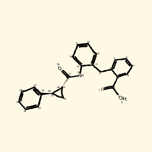 O=C(O)c1ccccc1Cc1ccccc1NC(=O)[C@@H]1C[C@H]1c1ccccc1